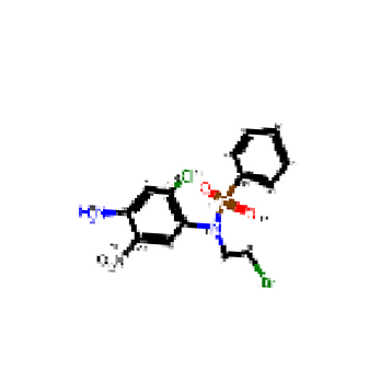 Nc1cc(Cl)c(N(CCBr)S(=O)(=O)c2ccccc2)cc1[N+](=O)[O-]